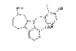 CCCCCCC1CCCc2c(n(Cc3cccc(C#N)c3F)c3c(C(=O)O)cccc23)C1